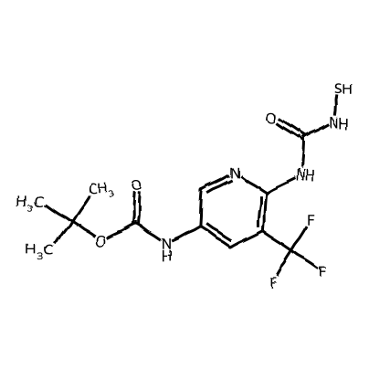 CC(C)(C)OC(=O)Nc1cnc(NC(=O)NS)c(C(F)(F)F)c1